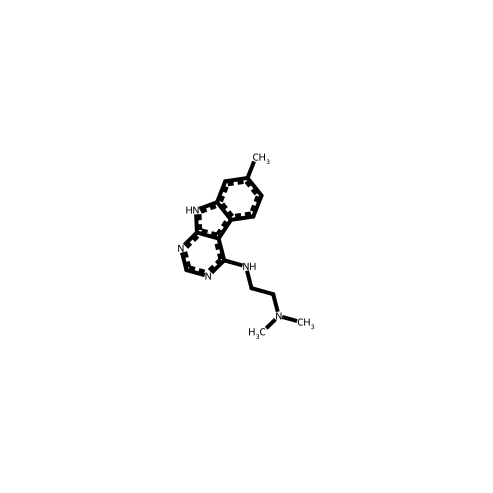 Cc1ccc2c(c1)[nH]c1ncnc(NCCN(C)C)c12